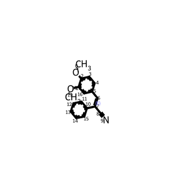 COc1ccc(/C=C(/C#N)c2ccccc2)cc1OC